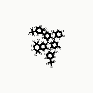 Cc1cc2c3c(c1)N(c1ccccc1C)c1cc4oc5ccc(C(C)(C)C)cc5c4cc1B3c1cc3c(cc1N2c1ccc(C(C)(C)C)cc1C)C(C)(C)CCC3(C)C